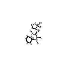 CSC(=NC1COCC1(F)F)N(C)[C@@H](C)c1ccncc1